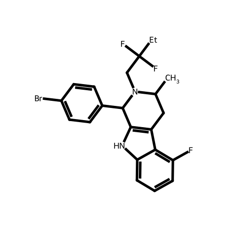 CCC(F)(F)CN1C(C)Cc2c([nH]c3cccc(F)c23)C1c1ccc(Br)cc1